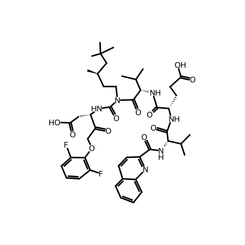 CC(C)[C@H](NC(=O)c1ccc2ccccc2n1)C(=O)N[C@@H](CCC(=O)O)C(=O)N[C@H](C(=O)N(CC[C@@H](C)CC(C)(C)C)C(=O)N[C@@H](CC(=O)O)C(=O)COc1c(F)cccc1F)C(C)C